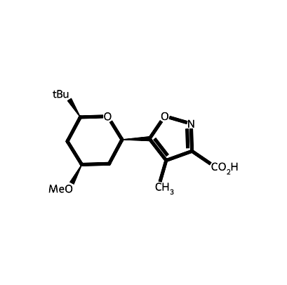 CO[C@H]1C[C@@H](C(C)(C)C)O[C@@H](c2onc(C(=O)O)c2C)C1